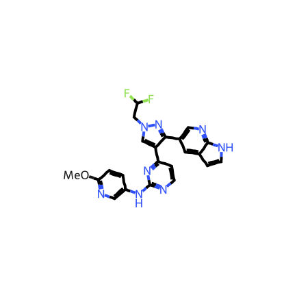 COc1ccc(Nc2nccc(-c3cn(CC(F)F)nc3-c3cnc4[nH]ccc4c3)n2)cn1